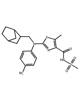 Cc1sc(N(CC2CC3CCC2C3)c2ccc(C#N)cc2)nc1C(=O)NS(C)(=O)=O